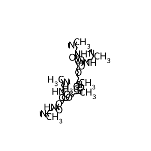 CC(CCNC(=O)OCC(COCCC[Si](C)(C)O[Si](C)(C)CCCOCC(COC(=O)NCCC(C)N1CC1)OC(=O)NCCC(C)N1CC1)OC(=O)NCCC(C)N1CC1)N1CC1